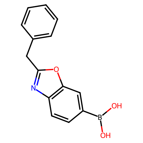 OB(O)c1ccc2nc(Cc3ccccc3)oc2c1